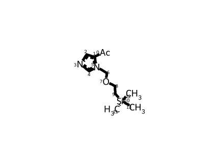 CC(=O)c1cncn1COCC[Si](C)(C)C